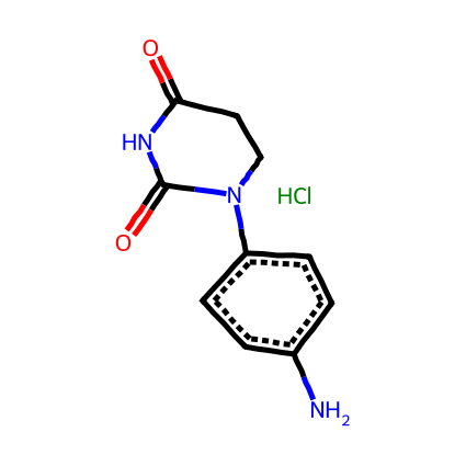 Cl.Nc1ccc(N2CCC(=O)NC2=O)cc1